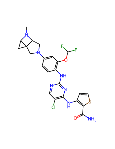 CN1C2CN(c3ccc(Nc4ncc(Cl)c(Nc5ccsc5C(N)=O)n4)c(OC(F)F)c3)CC23CC13